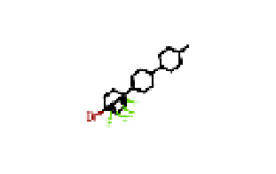 CC1CCC(C2CCC(C34CCC(Br)(CC3)C(F)(F)C4(F)F)CC2)CC1